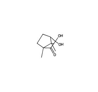 CC12CCC(C(O)(O)C1=O)C2(C)C